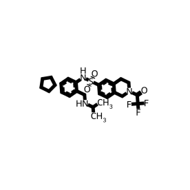 C1CCCC1.CC(C)NCc1ccccc1NS(=O)(=O)c1ccc2c(c1)CCN(C(=O)C(F)(F)F)C2